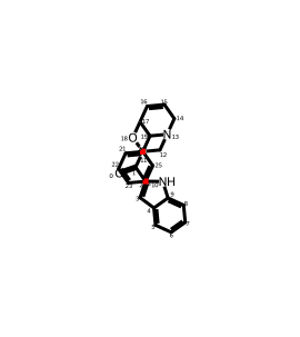 O=C(c1cc2ccccc2[nH]1)N1CN2CC=CC(O1)C2c1ccccc1